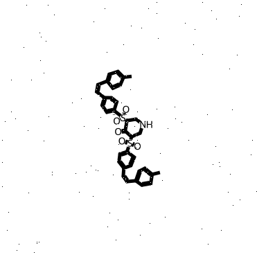 Cc1ccc(/C=C\c2ccc(S(=O)(=O)C3CNCC(S(=O)(=O)c4ccc(/C=C\c5ccc(C)cc5)cc4)C3=O)cc2)cc1